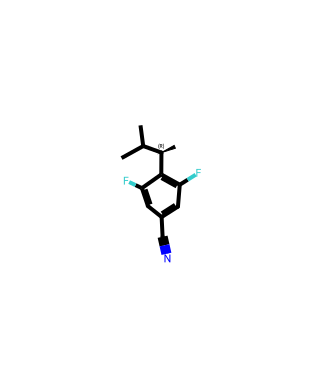 CC(C)[C@@H](C)c1c(F)cc(C#N)cc1F